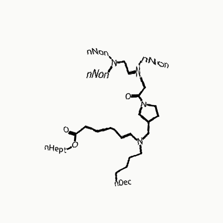 CCCCCCCCCCCCCCN(CCCCCC(=O)OCCCCCCC)CC1CCN(C(=O)CN(CCCCCCCCC)CCN(CCCCCCCCC)CCCCCCCCC)C1